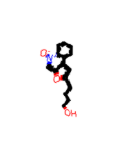 [O-][n+]1cc2oc(CCCCO)cc2c2ccccc21